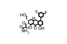 NC(=O)CC(=O)[C@H]1C(O)=C2C(=O)c3c(O)ccc(-c4cc(F)cc(F)c4)c3C[C@H]2C[C@H]1CCO